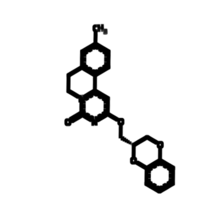 Cc1ccc2c(c1)CCn1c-2cc(OC[C@@H]2COc3ccccc3O2)nc1=O